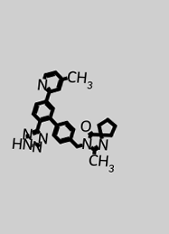 CC1=NC2(CCCC2)C(=O)N1Cc1ccc(-c2cc(-c3cc(C)ccn3)ccc2-c2nn[nH]n2)cc1